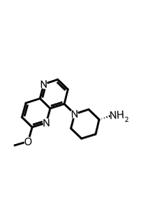 COc1ccc2nccc(N3CCC[C@@H](N)C3)c2n1